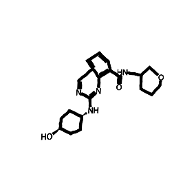 O=C(NC1CCCOC1)c1cccc2cnc(N[C@H]3CC[C@H](O)CC3)nc12